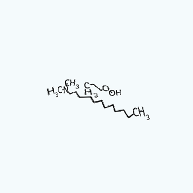 CCCCCCCCCCCCN(C)C.CCCOO